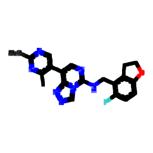 COc1ncc(-c2cnc(NCc3c(F)ccc4c3CCO4)n3cnnc23)c(C)n1